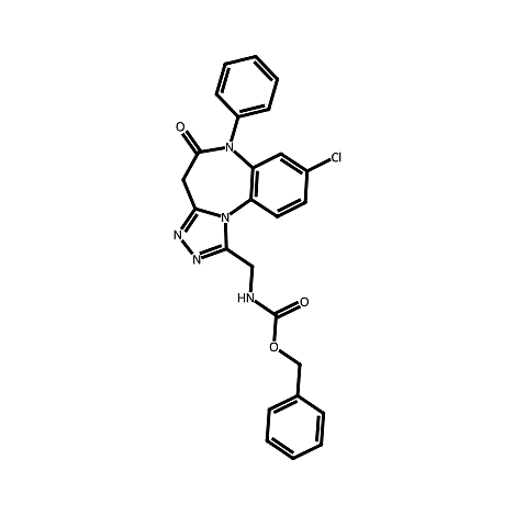 O=C(NCc1nnc2n1-c1ccc(Cl)cc1N(c1ccccc1)C(=O)C2)OCc1ccccc1